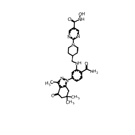 Cc1nn(-c2ccc(C(N)=O)c(NCC3CCN(c4ncc(C(=O)NO)cn4)CC3)c2)c2c1C(=O)CC(C)(C)C2